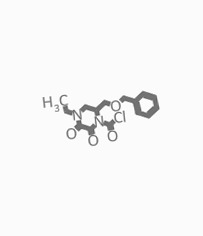 CCN1CC(COCc2ccccc2)N(C(=O)Cl)C(=O)C1=O